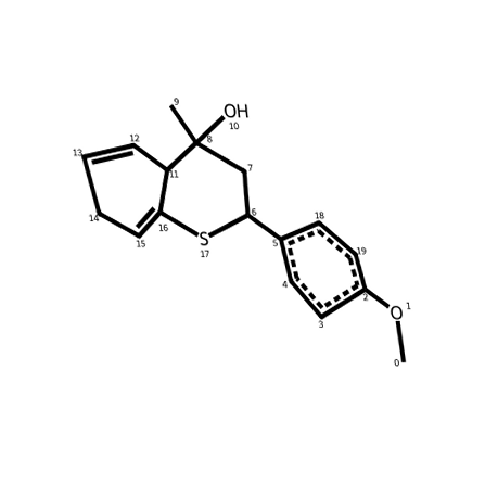 COc1ccc(C2CC(C)(O)C3C=CCC=C3S2)cc1